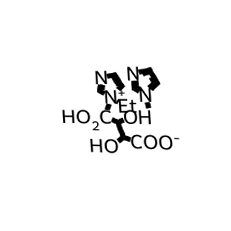 CC[N+]1(C)C=CN=C1.Cn1ccnc1.O=C([O-])C(O)C(O)C(=O)O